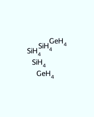 [GeH4].[GeH4].[SiH4].[SiH4].[SiH4]